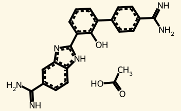 CC(=O)O.N=C(N)c1ccc(-c2cccc(-c3nc4cc(C(=N)N)ccc4[nH]3)c2O)cc1